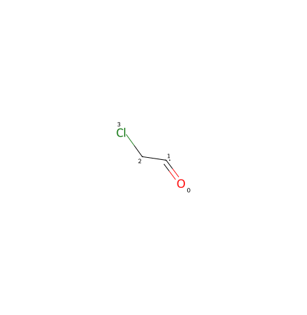 O=[C]CCl